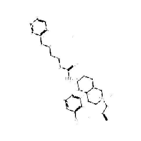 C=CC[N@@+]1(C)CC[C@@]2(c3cccc(O)c3)C[C@H](NC(=O)CCCCCc3ccccc3)CCC2C1